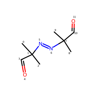 CC(C)([C]=O)N=NC(C)(C)[C]=O